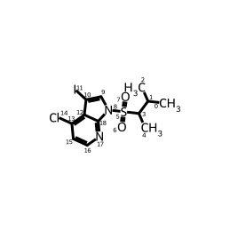 CC(C)C(C)S(=O)(=O)n1cc(I)c2c(Cl)ccnc21